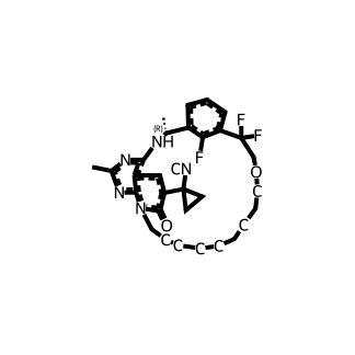 Cc1nc2c3cc(C4(C#N)CC4)c(=O)n(c3n1)CCCCCCCCCOCC(F)(F)c1cccc(c1F)[C@@H](C)N2